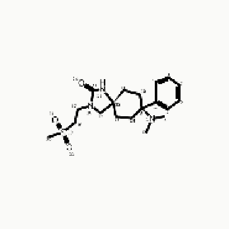 CN(C)[C@]1(c2ccccc2)CC[C@@]2(CC1)CN(CCS(C)(=O)=O)C(=O)N2